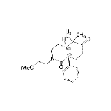 COCCN1CC[C@H]2C(C)(C)C(=O)CC[C@]2(c2ccccc2)C1=O